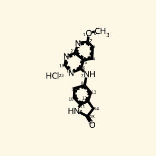 COc1ccc2c(Nc3ccc4c(c3)CC(=O)N4)ncnc2n1.Cl